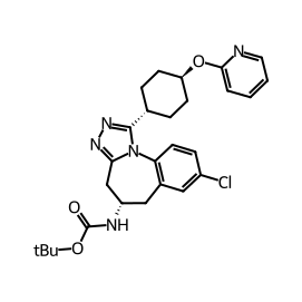 CC(C)(C)OC(=O)N[C@H]1Cc2cc(Cl)ccc2-n2c(nnc2[C@H]2CC[C@H](Oc3ccccn3)CC2)C1